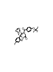 C[C@H]1N(C(=O)c2ccc(OC(F)(F)F)cc2)CC(=O)O[C@@]1(Cn1cncn1)c1ccc(F)cc1F